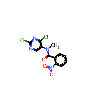 CN(C(=O)c1ccccc1[N+](=O)[O-])c1cnc(Cl)nc1Cl